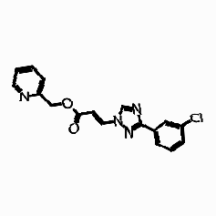 O=C(C=Cn1cnc(-c2cccc(Cl)c2)n1)OCc1ccccn1